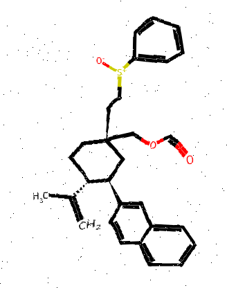 C=C(C)[C@@H]1CC[C@](CC[S+]([O-])c2ccccc2)(COC=O)C[C@H]1c1ccc2ccccc2c1